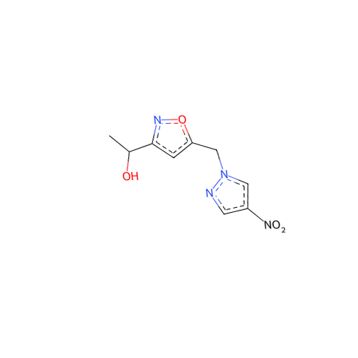 CC(O)c1cc(Cn2cc([N+](=O)[O-])cn2)on1